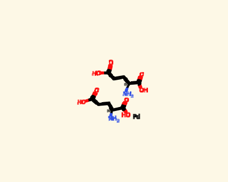 N[C@@H](CCC(=O)O)C(=O)O.N[C@@H](CCC(=O)O)C(=O)O.[Pd]